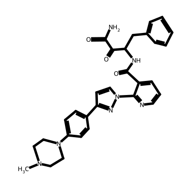 CN1CCN(c2ccc(-c3ccn(-c4ncccc4C(=O)NC(Cc4ccccc4)C(=O)C(N)=O)n3)cc2)CC1